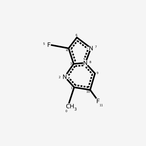 Cc1nc2c(F)cnn2cc1F